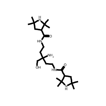 CC1(C)CC(C(=O)NCCC(N)(CO)CCNC(=O)C2CC(C)(C)NC2(C)C)C(C)(C)N1